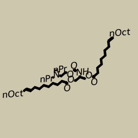 CCCCCCCCC=CCCCCCCCC(=O)OCC(COC(=O)CCCCCCCC=CCCCCCCCC)NC(=O)OCCN(CCC)CCC